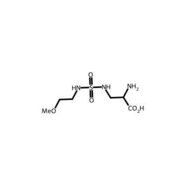 COCCNS(=O)(=O)NCC(N)C(=O)O